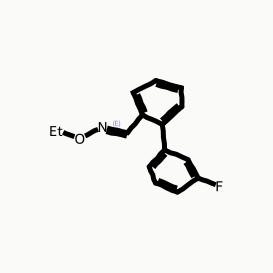 CCO/N=C/c1ccccc1-c1cccc(F)c1